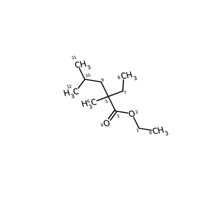 CCOC(=O)C(C)(CC)CC(C)C